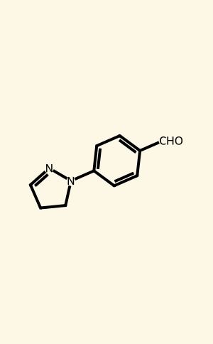 O=Cc1ccc(N2CCC=N2)cc1